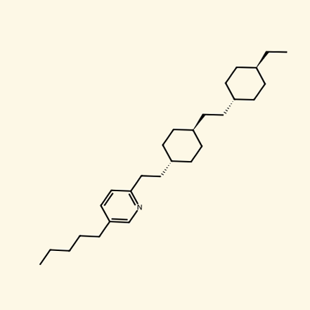 CCCCCc1ccc(CC[C@H]2CC[C@H](CC[C@H]3CC[C@H](CC)CC3)CC2)nc1